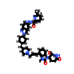 Cn1c(=O)n(C2CCC(=O)NC2=O)c2cccc(C#CCN3CCC(C[C@H]4CC[C@H](n5cc6cc(NC(=O)c7cccc(C(F)(F)F)n7)ccc6n5)CC4)CC3)c21